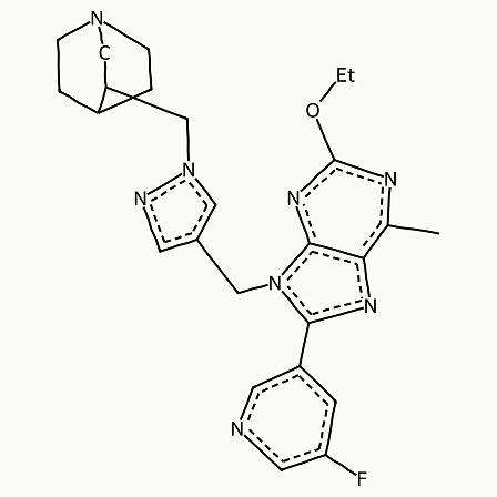 CCOc1nc(C)c2nc(-c3cncc(F)c3)n(Cc3cnn(CC4CN5CCC4CC5)c3)c2n1